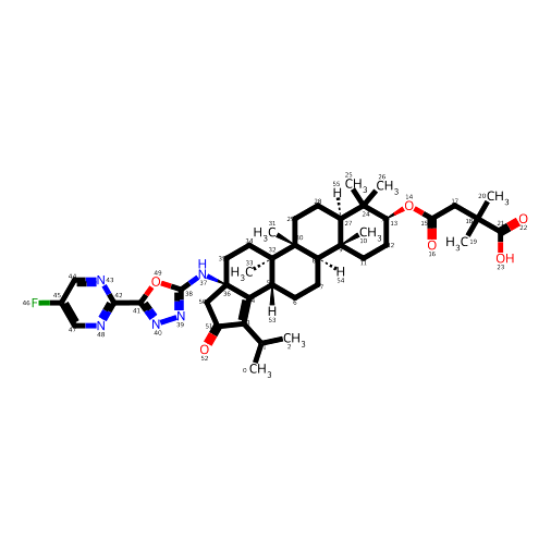 CC(C)C1=C2[C@H]3CC[C@@H]4[C@@]5(C)CC[C@H](OC(=O)CC(C)(C)C(=O)O)C(C)(C)[C@@H]5CC[C@@]4(C)[C@]3(C)CC[C@@]2(Nc2nnc(-c3ncc(F)cn3)o2)CC1=O